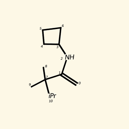 C=C(NC1CCC1)C(C)(C)C(C)C